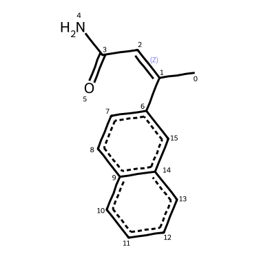 C/C(=C/C(N)=O)c1ccc2ccccc2c1